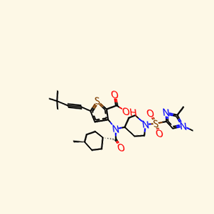 Cc1nc(S(=O)(=O)N2CCC(N(c3cc(C#CC(C)(C)C)sc3C(=O)O)C(=O)[C@H]3CC[C@H](C)CC3)CC2)cn1C